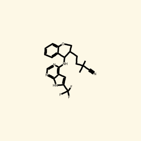 CC(C)(C#N)CCC1COc2ccccc2C1Nc1ncnc2[nH]c(C(F)(F)F)cc12